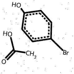 CC(=O)O.Oc1ccc(Br)cc1